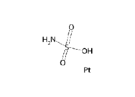 NS(=O)(=O)O.[Pt]